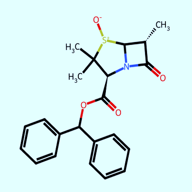 C[C@@H]1C(=O)N2C1[S+]([O-])C(C)(C)[C@@H]2C(=O)OC(c1ccccc1)c1ccccc1